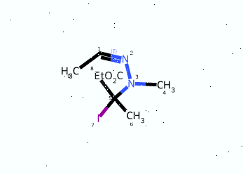 C/C=N\N(C)C(C)(I)C(=O)OCC